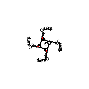 C=C(CO[Si](C)(C)C(C)(C)C)C(=O)OCCCC1=CC2Cc3cc(CCCOC(=O)C(=C)CO[Si](C)(C)C(C)(C)C)cc(c3OC)Cc3cc(CCCOC(=O)C(=C)CO[Si](C)(C)C(C)(C)C)cc(c3OC)Cc3cc(CCCOC(=O)C(=C)CO[Si](C)(C)C(C)(C)C)cc(c3OC)CC(=C1)C2OC